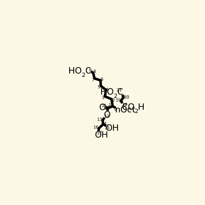 CCCCCCCCC(CCCCCCCC(=O)O)C(=O)OCC(O)CO.O=C(O)CCC(=O)O